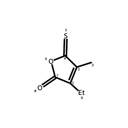 CCC1=C(C)C(=S)OC1=O